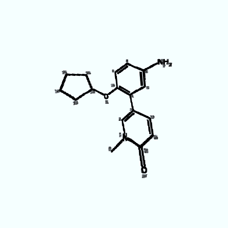 Cn1cc(-c2cc(N)ccc2OC2CCCC2)ccc1=O